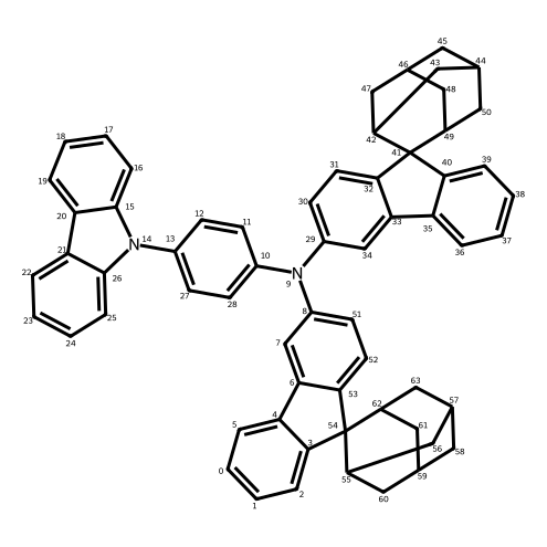 c1ccc2c(c1)-c1cc(N(c3ccc(-n4c5ccccc5c5ccccc54)cc3)c3ccc4c(c3)-c3ccccc3C43C4CC5CC(C4)CC3C5)ccc1C21C2CC3CC(C2)CC1C3